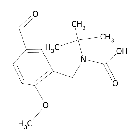 COc1ccc(C=O)cc1CN(C(=O)O)C(C)(C)C